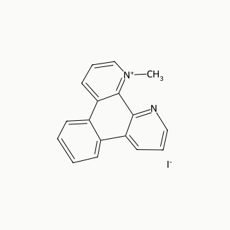 C[n+]1cccc2c3ccccc3c3cccnc3c21.[I-]